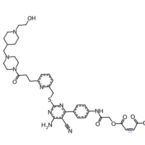 N#Cc1c(N)nc(SCc2cccc(CCC(=O)N3CCN(CC4CCN(CCO)CC4)CC3)n2)nc1-c1ccc(NC(=O)COC(=O)/C=C\C(=O)O)cc1